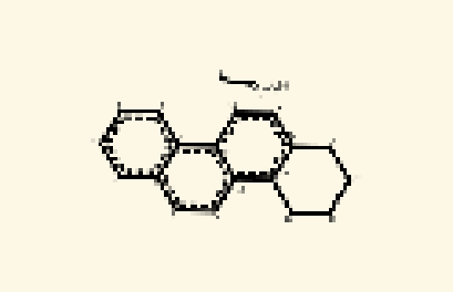 CS(=O)(=O)O.c1ccc2c(c1)ccc1c3c(ccc12)CCCC3